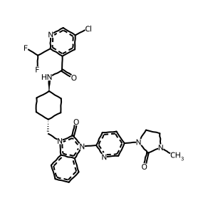 CN1CCN(c2ccc(-n3c(=O)n(C[C@H]4CC[C@H](NC(=O)c5cc(Cl)cnc5C(F)F)CC4)c4ccccc43)nc2)C1=O